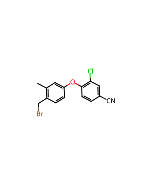 Cc1cc(Oc2ccc(C#N)cc2Cl)ccc1CBr